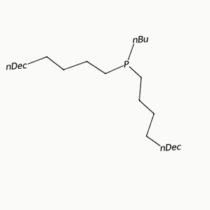 CCCCCCCCCCCCCCP(CCCC)CCCCCCCCCCCCCC